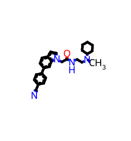 CN(CCNC(=O)Cn1ccc2ccc(-c3ccc(C#N)cc3)cc21)C1CCCCC1